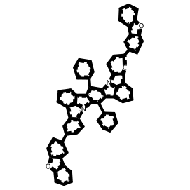 c1ccc(-c2c3c4cccc5c6cc(-c7ccc8oc9ccccc9c8c7)ccc6n(c3c(-c3ccccc3)c3c6cccc7c8cc(-c9ccc%10oc%11ccccc%11c%10c9)ccc8n(c23)c76)c54)cc1